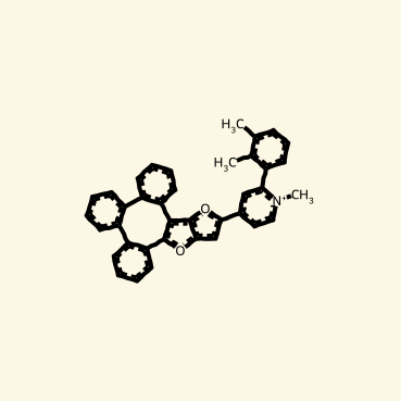 Cc1cccc(-c2cc(-c3cc4oc5c(c4o3)-c3ccccc3-c3ccccc3-c3ccccc3-5)cc[n+]2C)c1C